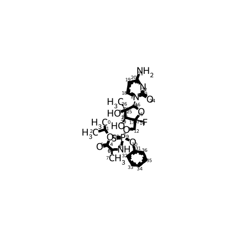 CC(C)OC(=O)[C@H](C)NP(=S)(OC[C@@]1(F)O[C@@H](n2ccc(N)nc2=O)[C@](C)(O)[C@@H]1O)Oc1ccccc1